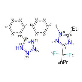 CCCC(F)(F)c1nc(CC)n(Cc2ccc(-c3ccccc3-c3nnn[nH]3)cc2)n1